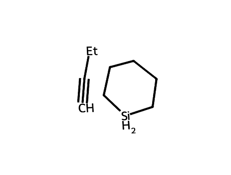 C#CCC.C1CC[SiH2]CC1